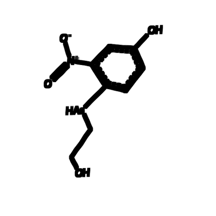 O=[N+]([O-])c1cc(O)ccc1[AsH]CCO